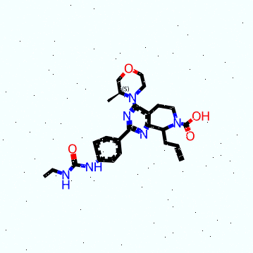 C=CCC1c2nc(-c3ccc(NC(=O)NCC)cc3)nc(N3CCOC[C@@H]3C)c2CCN1C(=O)O